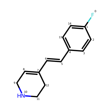 Fc1ccc(C=CC2=CCNCC2)cc1